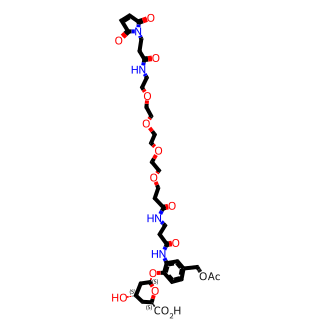 CC(=O)OCc1ccc(O[C@H]2C[C@@H](O)C[C@@H](C(=O)O)O2)c(NC(=O)CCNC(=O)CCOCCOCCOCCOCCNC(=O)CCN2C(=O)C=CC2=O)c1